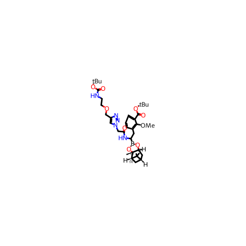 COc1c(CC(NC(=O)Cn2cc(COCCNC(=O)OC(C)(C)C)nn2)B2O[C@@H]3C[C@@H]4C[C@@H](C4(C)C)[C@]3(C)O2)cccc1C(=O)OC(C)(C)C